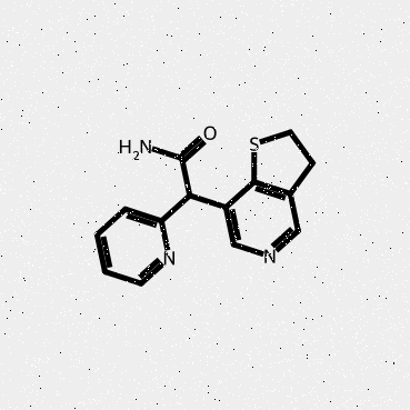 NC(=O)C(c1ccccn1)c1cncc2c1SCC2